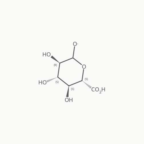 [O]C1O[C@H](C(=O)O)[C@@H](O)[C@H](O)[C@H]1O